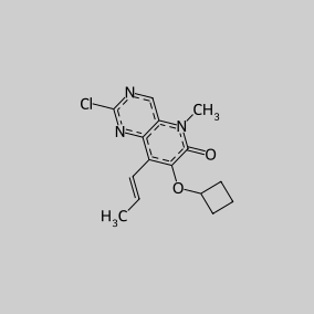 C/C=C/c1c(OC2CCC2)c(=O)n(C)c2cnc(Cl)nc12